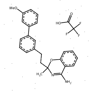 COc1cccc(-c2cccc(CCC3(C)N=C(N)c4ccccc4O3)c2)c1.O=C(O)C(F)(F)F